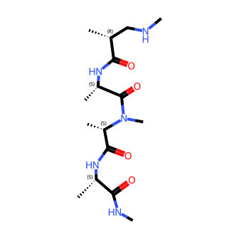 CNC[C@@H](C)C(=O)N[C@@H](C)C(=O)N(C)[C@@H](C)C(=O)N[C@@H](C)C(=O)NC